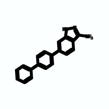 Nc1n[nH]c2cc(-c3ccc(-c4ccccc4)cc3)ccc12